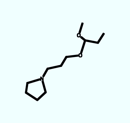 CCC(OC)OCCCN1CCCC1